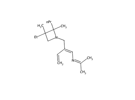 C=C/C(=C\N=C(C)C)CN1CC(C)(CC)C1(C)CCC